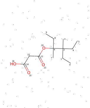 CCC(C)(CC)C(C)(CC)OC(=O)CC(=O)O